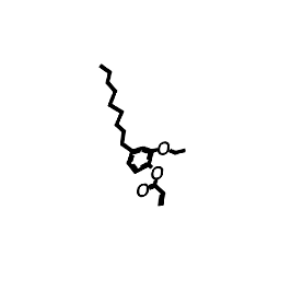 C=CC(=O)Oc1ccc(CCCCCCCCC)cc1OCC